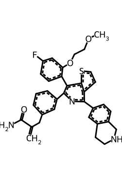 C=C(Cc1cccc(-c2nc(-c3ccc4c(c3)CCNC4)c3ccsc3c2-c2ccc(F)cc2OCCOC)c1)C(N)=O